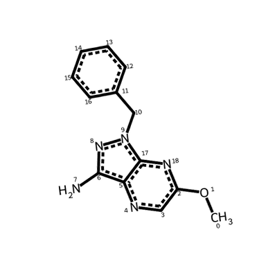 COc1cnc2c(N)nn(Cc3ccccc3)c2n1